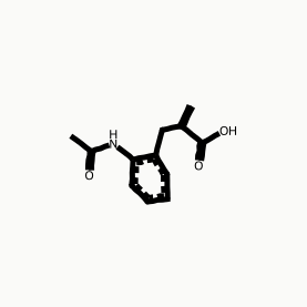 C=C(Cc1ccccc1NC(C)=O)C(=O)O